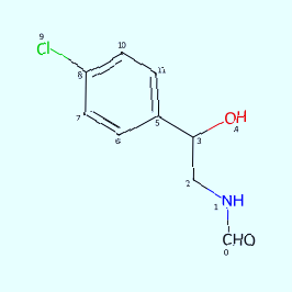 O=CNCC(O)c1ccc(Cl)cc1